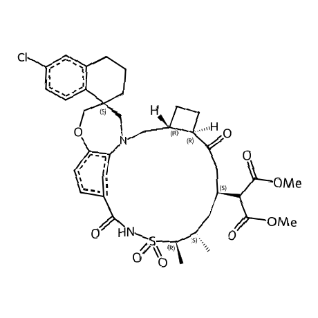 COC(=O)C(C(=O)OC)[C@@H]1CC(=O)[C@@H]2CC[C@H]2CN2C[C@@]3(CCCc4cc(Cl)ccc43)COc3ccc(cc32)C(=O)NS(=O)(=O)[C@H](C)[C@@H](C)C1